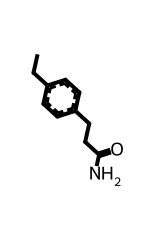 CCc1ccc(CCC(N)=O)cc1